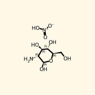 N[C@@H]1[C@@H](O)[C@H](O)[C@@H](CO)O[C@H]1O.O=[N+]([O-])O